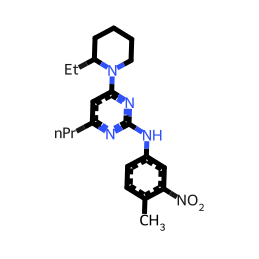 CCCc1cc(N2CCCCC2CC)nc(Nc2ccc(C)c([N+](=O)[O-])c2)n1